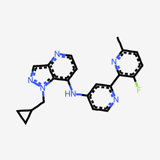 Cc1ccc(F)c(-c2cc(Nc3ccnc4cnn(CC5CC5)c34)ccn2)n1